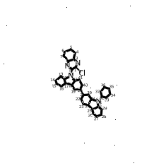 Clc1nc2ccccc2nc1-n1c2ccccc2c2cc(-c3ccc4c5ccccc5n(-c5ccccc5)c4c3)ccc21